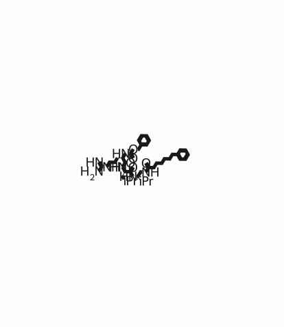 CC(C)C[C@H](NC(=O)[C@H](CCCNC(=N)N)NC(=O)OCc1ccccc1)C(=O)N[C@H](CNC(=O)CCCCCCc1ccccc1)C(C)C